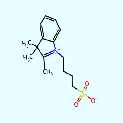 CC1=[N+](CCCCS(=O)(=O)[O-])c2ccccc2C1(C)C